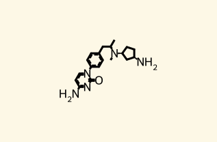 CC(Cc1ccc(-n2ccc(N)nc2=O)cc1)N(C)[C@H]1CC[C@@H](N)C1